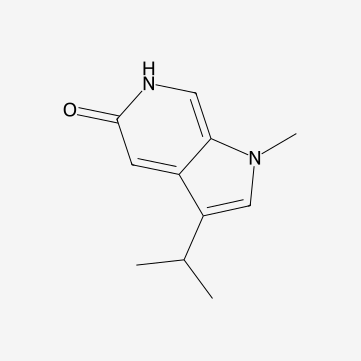 CC(C)c1cn(C)c2c[nH]c(=O)cc12